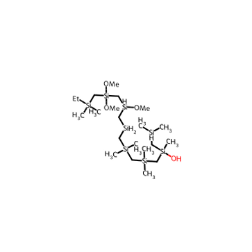 CC[Si](C)(C)C[Si](C[SiH](C[SiH2]C[Si](C)(C)C[Si](C)(C)C[Si](C)(O)C[SiH](C)C)OC)(OC)OC